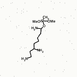 CO[Si](C)(OC)OC(N)CCCCC(N)CCN